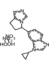 O=[N+]([O-])O.O=[N+]([O-])O.c1cc2ncn(C3CC3)c2cc1C1CCc2cncn21